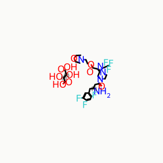 N[C@@H](CC(=O)N1CCn2c(C(F)(F)F)nc(C(=O)OCCN3CCOCC3)c2C1)Cc1cc(F)c(F)cc1F.O=C(O)[C@@H](O)[C@@H](O)C(=O)O